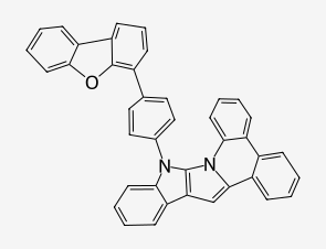 c1ccc2c(c1)oc1c(-c3ccc(-n4c5ccccc5c5cc6c7ccccc7c7ccccc7n6c54)cc3)cccc12